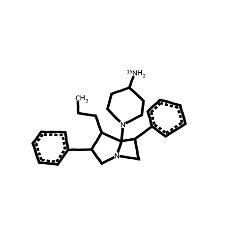 CCCC1C(c2ccccc2)CN2CC(c3ccccc3)C12N1CCC([15NH2])CC1